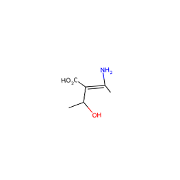 C/C(N)=C(/C(=O)O)C(C)O